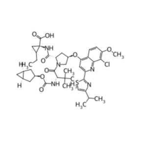 CCC1C[C@]1(NC(=O)[C@@H]1C[C@@H](Oc2cc(-c3nc(C(C)C)cs3)nc3c(Cl)c(OC)ccc23)CN1C(=O)[C@@H](NC(=O)O[C@@H]1C[C@@H]2C[C@@H]2C1)C(C)(C)C)C(=O)O